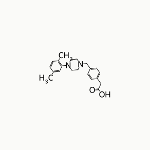 Cc1ccc(C)c(N2CCN(Cc3ccc(CC(=O)O)cc3)CC2)c1